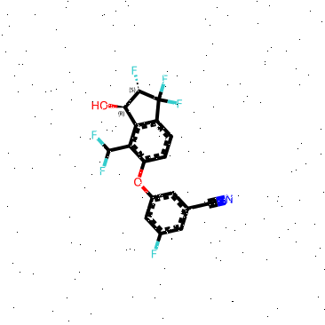 N#Cc1cc(F)cc(Oc2ccc3c(c2C(F)F)[C@@H](O)[C@H](F)C3(F)F)c1